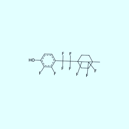 CC12CCC(C(F)(F)C(F)(F)c3ccc(O)c(F)c3F)(CC1)C(F)C2(F)F